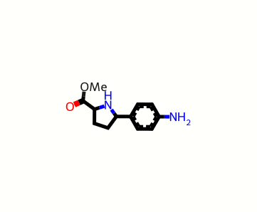 COC(=O)C1CCC(c2ccc(N)cc2)N1